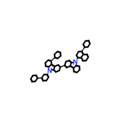 c1ccc(-c2cccc(-n3c4ccc(-c5ccc6c(c5)c5ccccc5n6-c5ccc(-c6ccccc6)c6ccccc56)cc4c4c(-c5ccccc5)cccc43)c2)cc1